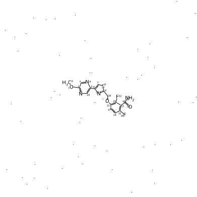 COc1cnc(-c2csc(COc3ccc(F)c(C(N)=O)c3F)n2)cn1